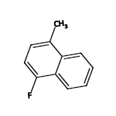 Cc1ccc(F)c2ccccc12